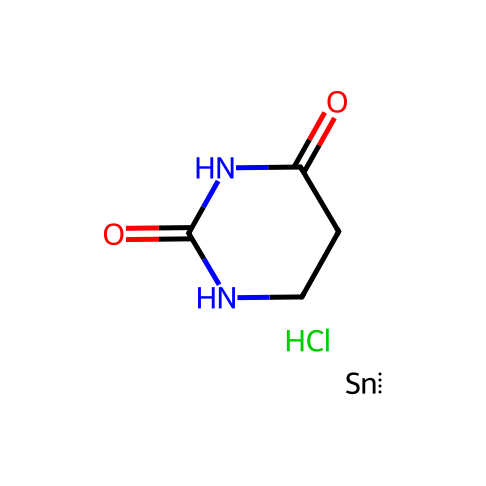 Cl.O=C1CCNC(=O)N1.[Sn]